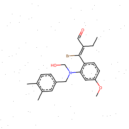 CC/C(C=O)=C(/Br)c1ccc(OC)cc1N(CO)Cc1ccc(C)c(C)c1